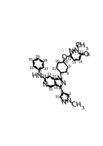 Cn1cc(-c2nn(C3CCC(Oc4ccc(=O)n(C)n4)CC3)c3cc(Nc4ccccc4)ncc23)cn1